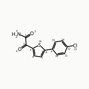 NC(=O)C(=O)c1ccc(-c2ccc(Cl)cc2)s1